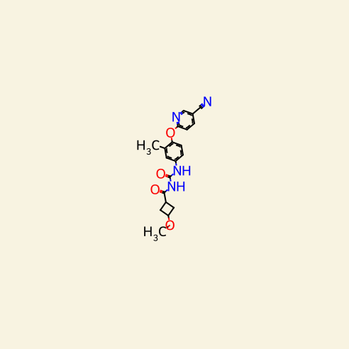 COC1CC(C(=O)NC(=O)Nc2ccc(Oc3ccc(C#N)cn3)c(C)c2)C1